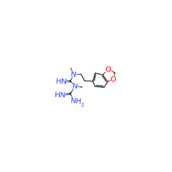 CN(CCc1ccc2c(c1)OCO2)C(=N)N(C)C(=N)N